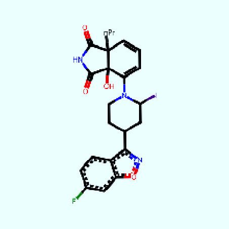 CCCC12C=CC=C(N3CCC(c4noc5cc(F)ccc45)CC3I)C1(O)C(=O)NC2=O